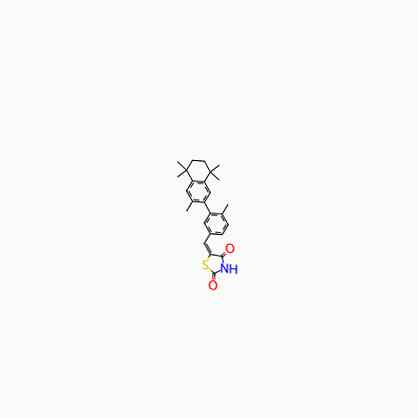 Cc1ccc(/C=C2/SC(=O)NC2=O)cc1-c1cc2c(cc1C)C(C)(C)CCC2(C)C